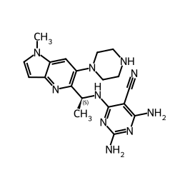 C[C@H](Nc1nc(N)nc(N)c1C#N)c1nc2ccn(C)c2cc1N1CCNCC1